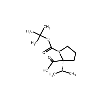 CC(C)[C@@]1(C(=O)O)CCCN1C(=O)OC(C)(C)C